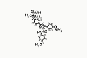 CCc1ccc(NC(=O)c2nc(-c3ccc(SC(C)(C)C(=O)O)cc3)sc2-c2ccc(OC)cc2)cc1